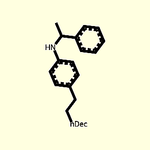 CCCCCCCCCCCCc1ccc(NC(C)c2ccccc2)cc1